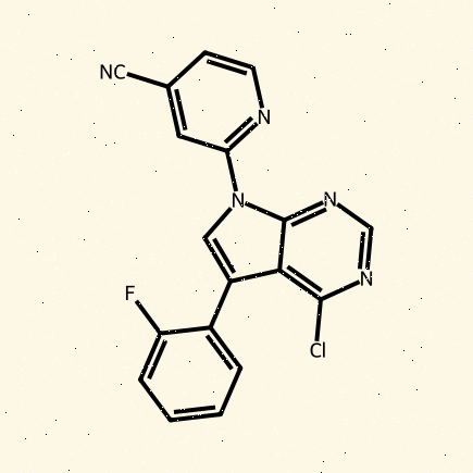 N#Cc1ccnc(-n2cc(-c3ccccc3F)c3c(Cl)ncnc32)c1